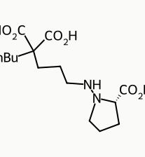 CCCCC(CCCNN1CCC[C@H]1C(=O)O)(C(=O)O)C(=O)O